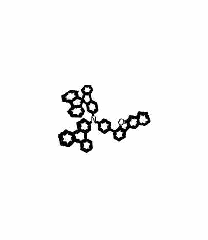 c1ccc2c(c1)-c1ccccc1C21c2ccccc2-c2ccc(N(c3ccc(-c4cccc5c4oc4cc6ccccc6cc45)cc3)c3ccc4c5ccccc5c5ccccc5c4c3)cc21